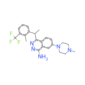 Cc1c(C(C)c2nnc(N)c3cc(N4CCN(C)CC4)ccc23)cccc1C(F)(F)F